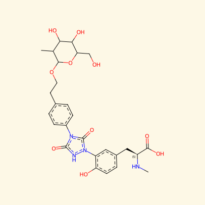 CN[C@@H](Cc1ccc(O)c(-n2[nH]c(=O)n(-c3ccc(CCOC4OC(CO)C(O)C(O)C4C)cc3)c2=O)c1)C(=O)O